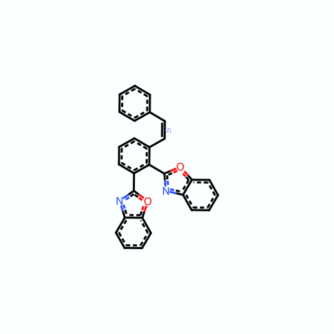 C(=C/c1cccc(-c2nc3ccccc3o2)c1-c1nc2ccccc2o1)/c1ccccc1